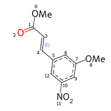 COC(=O)/C=C/c1cc(OC)cc([N+](=O)[O-])c1